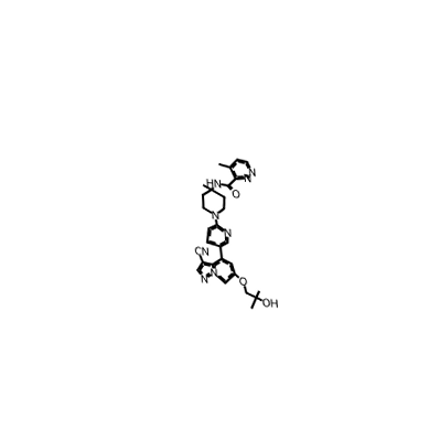 Cc1ccnnc1C(=O)NC1(C)CCN(c2ccc(-c3cc(OCC(C)(C)O)cn4ncc(C#N)c34)cn2)CC1